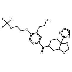 CCOc1nc(C(=O)N2CCC3(c4nccs4)OCOC3C2)ccc1OCCOC(F)(F)F